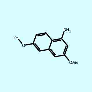 COc1cc(N)c2ccc(OC(C)C)cc2c1